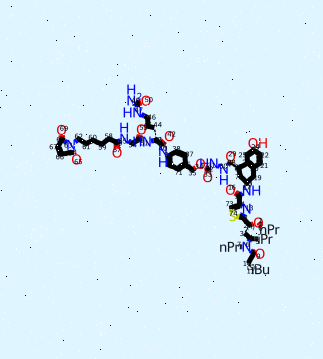 CCCO[C@H](CC(C(C)C)N(CCC)C(=O)C[C@@H](C)CC)c1nc(C(=O)N[C@H]2Cc3ccc(O)cc3[C@H](C(=O)NNC(=O)OCc3ccc(NC(=O)[C@@H](CCCNC(N)=O)NC(=O)CNC(=O)CCCCCN4C(=O)C=CC4=O)cc3)C2)cs1